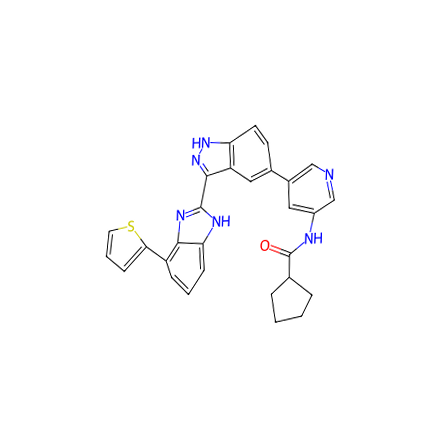 O=C(Nc1cncc(-c2ccc3[nH]nc(-c4nc5c(-c6cccs6)cccc5[nH]4)c3c2)c1)C1CCCC1